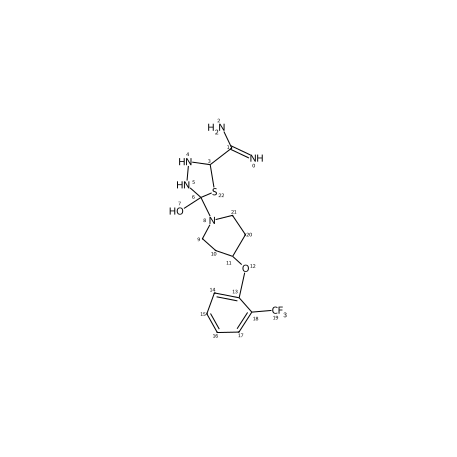 N=C(N)C1NNC(O)(N2CCC(Oc3ccccc3C(F)(F)F)CC2)S1